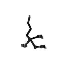 CO[Si](C)(C)CCCI